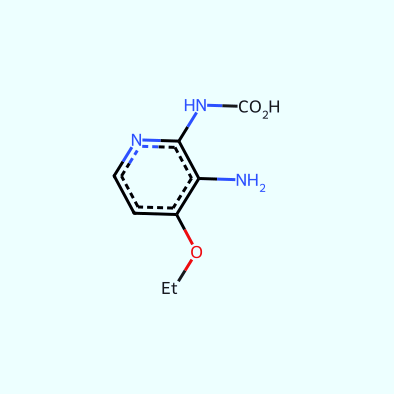 CCOc1ccnc(NC(=O)O)c1N